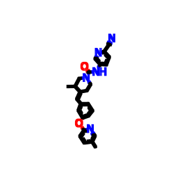 Cc1ccc(Oc2cccc(C=C3CCN(C(=O)Nc4ccc(C#N)nc4)CC3C)c2)nc1